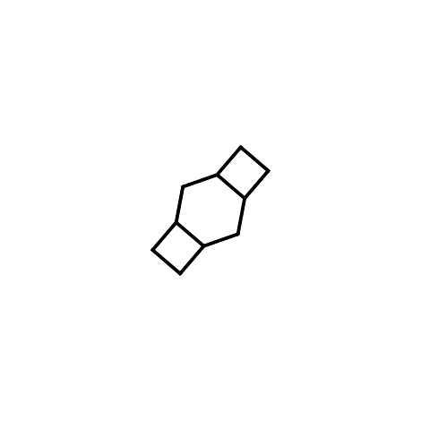 C1CC2CC3CCC3CC12